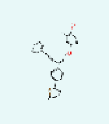 Cc1ccc(-c2ccc(C(C#Cc3ccccc3)=CCOc3ccc([O])c(C)c3)cc2)s1